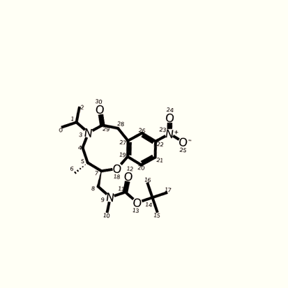 CC(C)N1C[C@@H](C)[C@H](CN(C)C(=O)OC(C)(C)C)Oc2ccc([N+](=O)[O-])cc2CC1=O